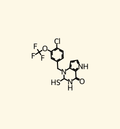 O=C1NC(S)N(Cc2ccc(Cl)c(OC(F)(F)F)c2)c2cc[nH]c21